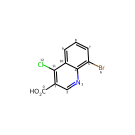 O=C(O)c1cnc2c(Br)cccc2c1Cl